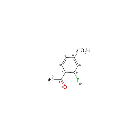 CC(C)C(=O)c1ccc(C(=O)O)cc1F